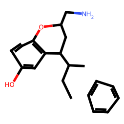 CCC(C)C1CC(CN)Oc2ccc(O)cc21.c1ccccc1